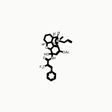 C=CC[N+]1(C)CC[C@@]23C4=C5C[C@@H]1[C@@H]2CCC[C@@H]3OC4C(O)(NC(=O)C(=Cc1ccccc1)C(F)(F)F)C=C5OC(C)=O